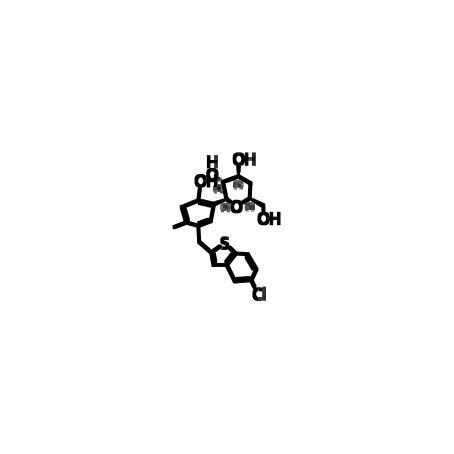 Cc1cc(O)c([C@@H]2O[C@H](CO)C[C@H](O)[C@H]2O)cc1Cc1cc2cc(Cl)ccc2s1